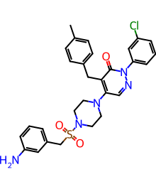 Cc1ccc(Cc2c(N3CCN(S(=O)(=O)Cc4cccc(N)c4)CC3)cnn(-c3cccc(Cl)c3)c2=O)cc1